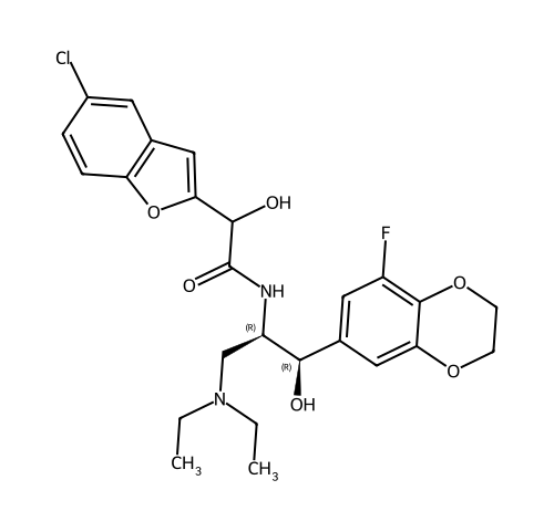 CCN(CC)C[C@@H](NC(=O)C(O)c1cc2cc(Cl)ccc2o1)[C@H](O)c1cc(F)c2c(c1)OCCO2